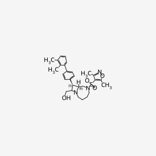 Cc1cccc(-c2ccc([C@@H]3C(CO)N4CCCCN(S(=O)(=O)c5c(C)noc5C)C[C@@H]34)cc2)c1C